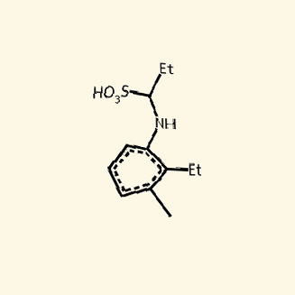 CCc1c(C)cccc1NC(CC)S(=O)(=O)O